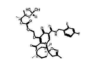 CC1=NO[C@@]2(CC[C@H](C)N3C[C@H]2n2cc(C(=O)NCc4ccc(F)cc4F)c(=O)c(OCOC(=O)O[C@H](C)[C@@H](C)OP(=O)(O)O)c2C3=O)C1